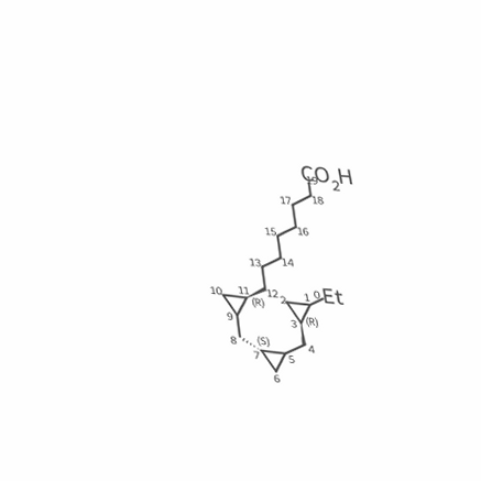 CCC1C[C@@H]1CC1C[C@@H]1CC1C[C@H]1CCCCCCCC(=O)O